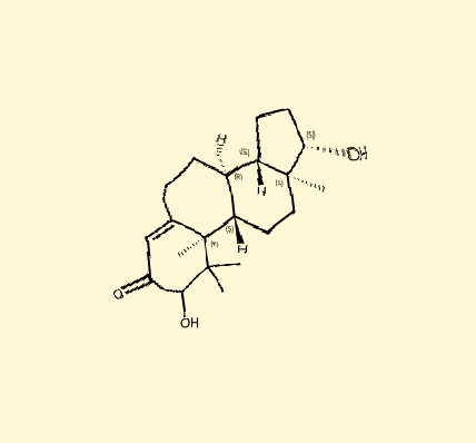 CC1(C)C(O)C(=O)C=C2CC[C@H]3[C@@H]4CC[C@H](O)[C@@]4(C)CC[C@@H]3[C@]21C